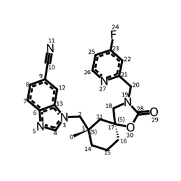 C[C@]1(Cn2cnc3ccc(C#N)cc32)CCC[C@@]2(CN(Cc3cc(F)ccn3)C(=O)O2)C1